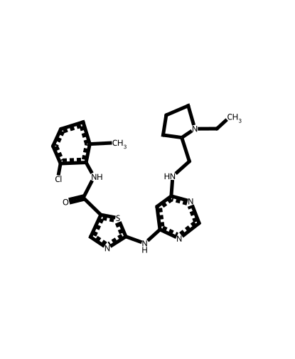 CCN1CCCC1CNc1cc(Nc2ncc(C(=O)Nc3c(C)cccc3Cl)s2)ncn1